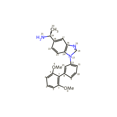 COc1cccc(OC)c1-c1cccc(-n2cnc3cc([C@H](C)N)ccc32)c1